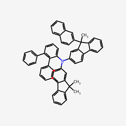 CC1(C)c2ccccc2-c2ccc(N(c3ccc4c(c3)C(C)(c3ccc5ccccc5c3)c3ccccc3-4)c3cccc(-c4ccccc4)c3-c3ccccc3)cc21